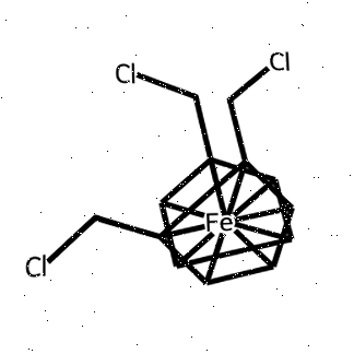 ClC[C]12[CH]3[CH]4[CH]5[CH]1[Fe]45321678[CH]2[CH]1[C]6(CCl)[C]7(CCl)[CH]28